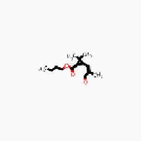 CCCCOC(=O)C1C(C=C(C)C=O)C1(C)C